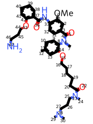 COc1cc(C(=O)N(C)c2ccc(C)cc2OCCCCCC(=O)N(C)CCCN(C)C)ccc1NC(=O)c1ccccc1OCCCN